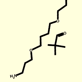 CC(C)(C)C=O.NCCCOCCCCOCCCN